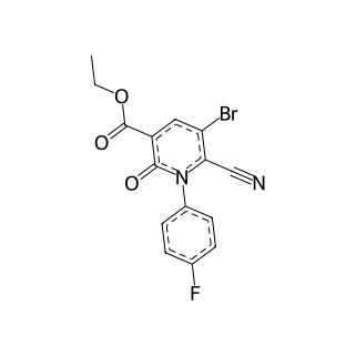 CCOC(=O)c1cc(Br)c(C#N)n(-c2ccc(F)cc2)c1=O